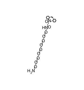 NCCOCCOCCOCCOCCOCCOCCOCCOCCOCCNC(=O)CCC(=O)N1Cc2ccccc2C#Cc2ccccc21